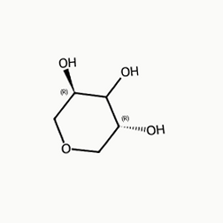 OC1[C@H](O)COC[C@H]1O